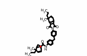 C=CCC1(C)C=CC2CC1CC2C(=O)Nc1ccc(Cc2ccc(N3C(=O)C4C5C=CC(C)(CC=C)C(C5)C4C3=O)cc2)cc1